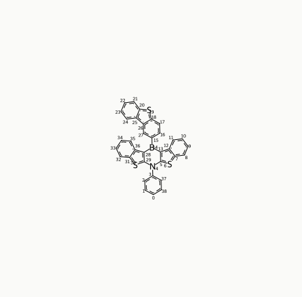 c1ccc(N2c3sc4ccccc4c3B(c3ccc4sc5ccccc5c4c3)c3c2sc2ccccc32)cc1